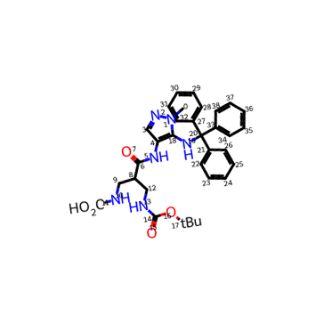 Cn1ncc(NC(=O)C(CNC(=O)O)CNC(=O)OC(C)(C)C)c1NC(c1ccccc1)(c1ccccc1)c1ccccc1